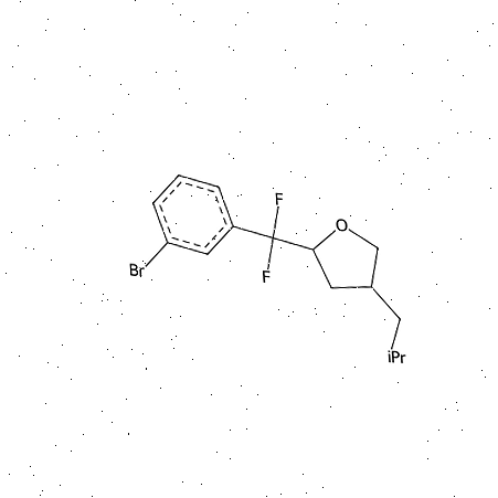 CC(C)CC1COC(C(F)(F)c2cccc(Br)c2)C1